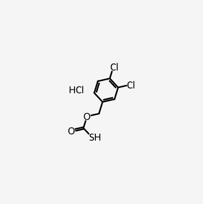 Cl.O=C(S)OCc1ccc(Cl)c(Cl)c1